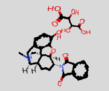 CN1CC[C@]23c4c5ccc(O)c4O[C@H]2[C@H](N2C(=O)c4ccccc4C2=O)CC[C@H]3[C@H]1C5.O=C(O)C(O)C(O)C(=O)O